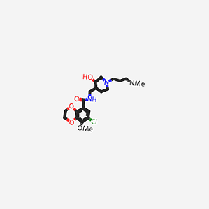 CNCCCN1CCC(CNC(=O)c2cc(Cl)c(OC)c3c2OCCO3)C(O)C1